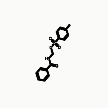 Cc1ccc(S(=O)(=O)OCNC(=O)c2ccccc2)cc1